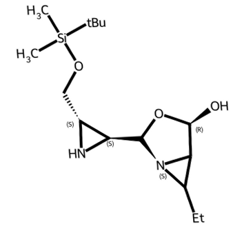 CCC1C2[C@H](O)OC([C@H]3N[C@@H]3CO[Si](C)(C)C(C)(C)C)[N@]12